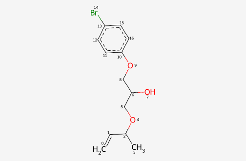 C=CC(C)OCC(O)COc1ccc(Br)cc1